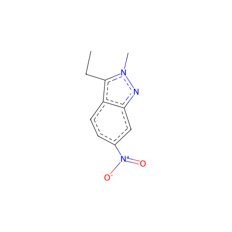 CCc1c2ccc([N+](=O)[O-])cc2nn1C